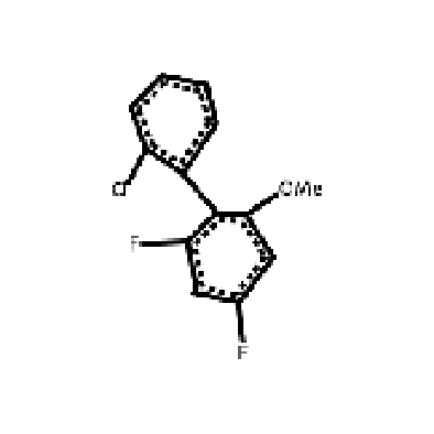 COc1cc(F)[c]c(F)c1-c1ccccc1Cl